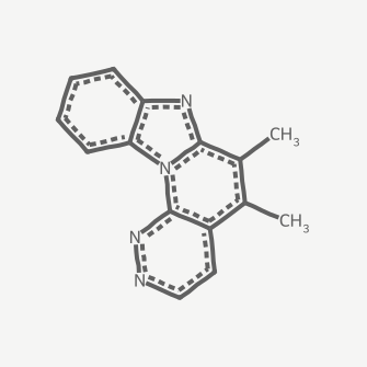 Cc1c(C)c2nc3ccccc3n2c2nnccc12